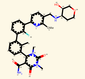 COc1nc(-c2cccc(-c3cccc(-c4c(C(N)=O)c(=O)n(C)c(=O)n4C)c3C)c2F)ccc1CN[C@@H]1CCOC[C@@H]1O